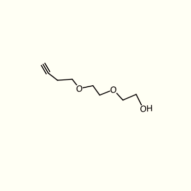 C#CCCOCCOCCO